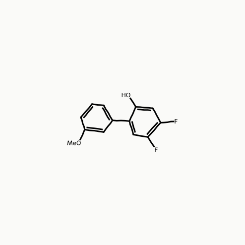 COc1cccc(-c2cc(F)c(F)cc2O)c1